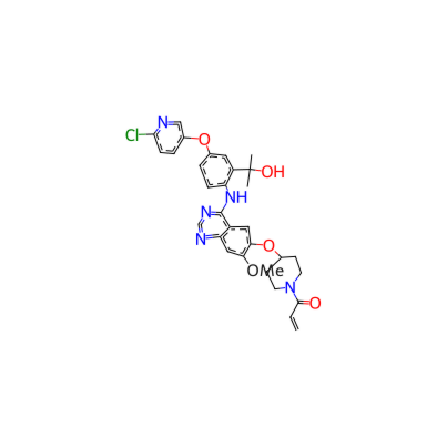 C=CC(=O)N1CCC(Oc2cc3c(Nc4ccc(Oc5ccc(Cl)nc5)cc4C(C)(C)O)ncnc3cc2OC)CC1